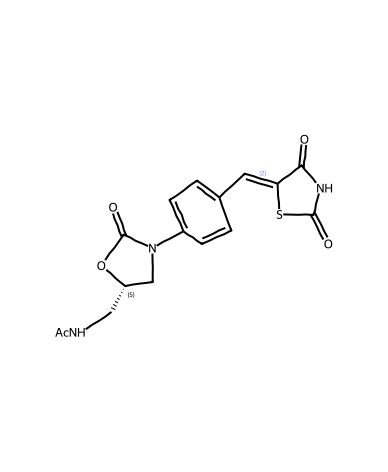 CC(=O)NC[C@H]1CN(c2ccc(/C=C3\SC(=O)NC3=O)cc2)C(=O)O1